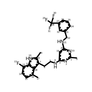 Cc1nc(NCCc2c(C)[nH]c3c(F)ccc(C)c23)cc(NCc2cccc(C(F)(F)F)c2)n1